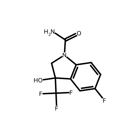 NC(=O)N1CC(O)(C(F)(F)F)c2cc(F)ccc21